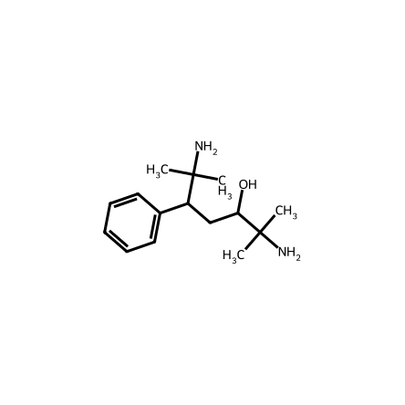 CC(C)(N)C(O)CC(c1ccccc1)C(C)(C)N